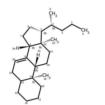 CCC[C@@H](C)[C@H]1CC[C@H]2C3=CCC4CCCC[C@]4(C)[C@H]3CC[C@]12C